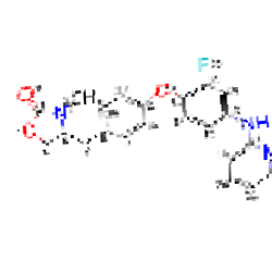 CN1C(=O)OCC1Cc1ccc(Oc2ccc(Nc3ccccn3)cc2F)cc1